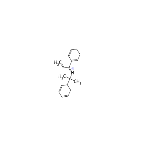 C=C/C(=N\C(C)(C)C1C=CC=CC1)C1=CCCC=C1